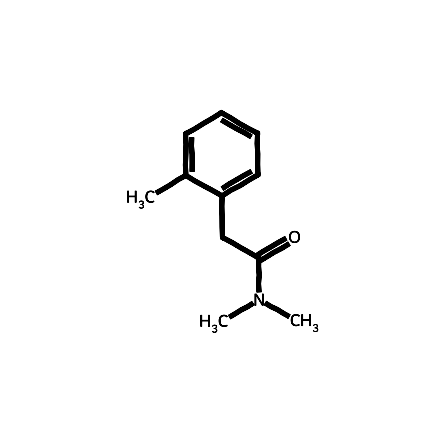 Cc1ccccc1CC(=O)N(C)C